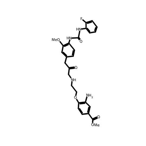 COC(=O)c1ccc(OCCNCC(=O)Cc2ccc(NC(=O)Nc3ccccc3F)c(OC)c2)c(N)c1